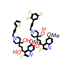 COc1ccc2ncc(F)c(C(O)CCC3(CO)CCN(CC#Cc4cc(F)cc(F)c4F)CC3)c2c1.COc1ccc2ncc(F)c(C(O)CCC3(CO)CCN(CC#Cc4cccs4)CC3)c2c1